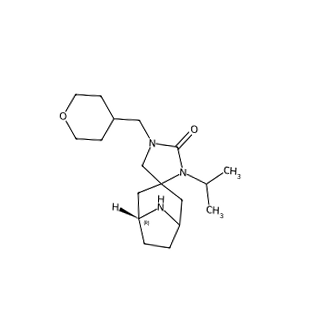 CC(C)N1C(=O)N(CC2CCOCC2)CC12CC1CC[C@H](C2)N1